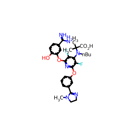 CCCCN(c1c(F)c(Oc2cccc(C3=NCCN3C)c2)nc(Oc2cc(C(=N)N)ccc2O)c1F)C(C)(C)C(=O)O